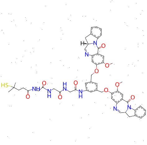 COc1cc2c(cc1OCc1cc(COc3cc4c(cc3OC)C(=O)N3c5ccccc5C[C@H]3C=N4)cc(NC(=O)CNC(=O)CNC(=O)CNC(=O)CCC(C)(C)S)c1)N=CC1Cc3ccccc3N1C2=O